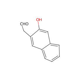 O=CCc1cc2ccccc2cc1O